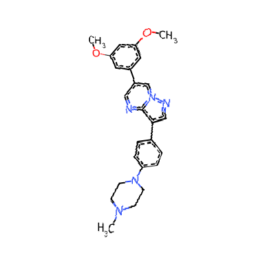 COc1cc(OC)cc(-c2cnc3c(-c4ccc(N5CCN(C)CC5)cc4)cnn3c2)c1